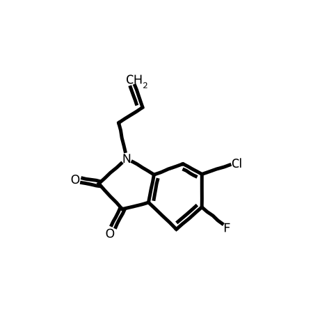 C=CCN1C(=O)C(=O)c2cc(F)c(Cl)cc21